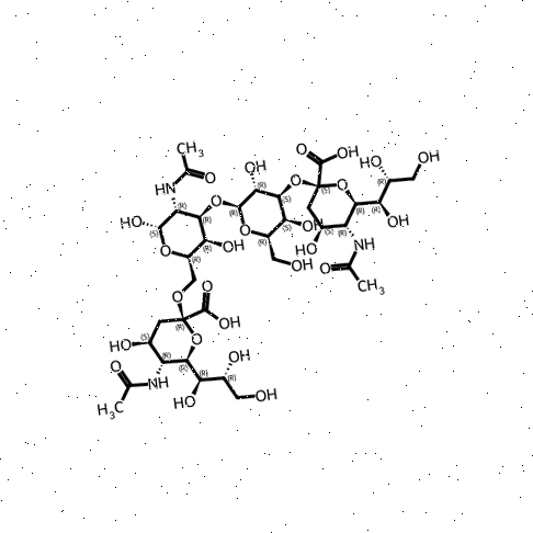 CC(=O)N[C@@H]1[C@@H](O[C@@H]2O[C@H](CO)[C@H](O)[C@H](O[C@]3(C(=O)O)C[C@H](O)[C@@H](NC(C)=O)[C@H]([C@H](O)[C@H](O)CO)O3)[C@H]2O)[C@@H](O)[C@@H](CO[C@]2(C(=O)O)C[C@H](O)[C@@H](NC(C)=O)[C@H]([C@H](O)[C@H](O)CO)O2)O[C@@H]1O